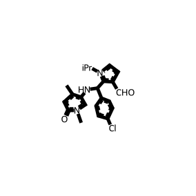 Cc1cc(=O)n(C)cc1NC(c1ccc(Cl)cc1)c1c(C=O)ccn1C(C)C